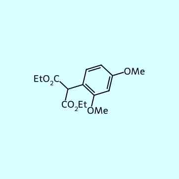 CCOC(=O)C(C(=O)OCC)c1ccc(OC)cc1OC